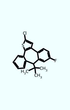 CC(C)(C)C1c2cc(F)ccc2-c2cc(Cl)sc2-c2ccccc21